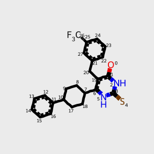 O=c1[nH]c(=S)[nH]c(C2CCC(c3ccccc3)CC2)c1Cc1cccc(C(F)(F)F)c1